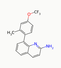 Cc1cc(OC(F)(F)F)ccc1-c1cccc2ccc(N)nc12